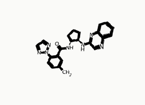 Cc1ccc(-n2nccn2)c(C(=O)N[C@@H]2CCC[C@H]2Nc2cnc3ccccc3n2)c1